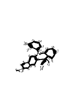 COc1ccc2cc3c(cc2c1)C(C)(C)c1ccccc1N3c1ccccc1